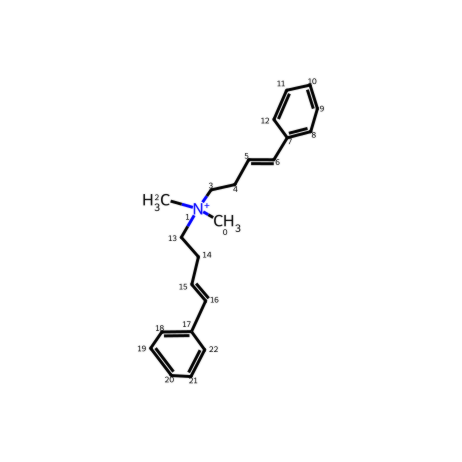 C[N+](C)(CCC=Cc1ccccc1)CCC=Cc1ccccc1